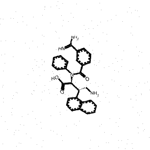 N=C(N)c1cccc(C(=O)N(c2ccccc2)[C@H](C(=O)O)[C@H](CN)c2cccc3ccccc23)c1